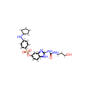 O=C(NCCCO)Nc1nc2cc(OS(=O)(=O)c3ccc(NC4CCCC4)cc3)ccc2[nH]1